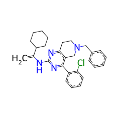 C=C(Nc1nc2c(c(-c3ccccc3Cl)n1)CN(Cc1ccccc1)CC2)C1CCCCC1